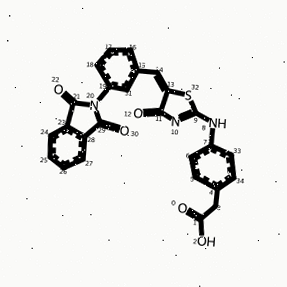 O=C(O)Cc1ccc(NC2=NC(=O)C(=Cc3cccc(N4C(=O)c5ccccc5C4=O)c3)S2)cc1